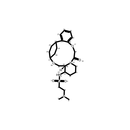 CN(C)CCS(=O)(=O)NC1CCCN2C(=O)COc3ccccc3C3CCC(CC3)OC[C@@H]12